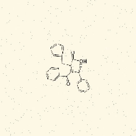 O=C(O)C(Cc1ccccc1)N(C(=O)c1ccccc1)C(=O)c1ccccc1